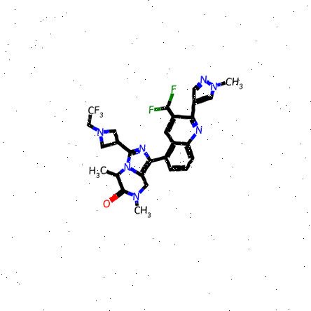 CC1C(=O)N(C)Cc2c(-c3cccc4nc(-c5cnn(C)c5)c(C(F)F)cc34)nc(C3CN(CC(F)(F)F)C3)n21